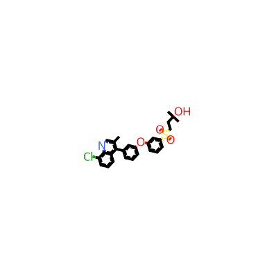 Cc1cnc2c(Cl)cccc2c1-c1cccc(Oc2cccc(S(=O)(=O)CCC(C)(C)O)c2)c1